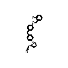 N#CC[C@@H]1CCCN1c1ccc(Cc2ccc(OCc3ccccc3F)cc2)cc1